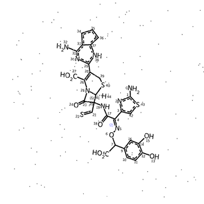 Nc1nc(/C(=N/OC(C(=O)O)c2ccc(O)c(O)c2)C(=O)NC2(C=S)C(=O)N3C(C(=O)O)=C(c4nc(N)c5cccc-5[nH]4)CS[C@H]32)cs1